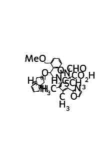 COCc1ccccc1C(CN(C(=O)N(C=O)C(C)(C)C(=O)O)c1sc(-c2ncco2)c(C)c1C)O[C@H]1C[C@H]2CC=C[C@H]2C1